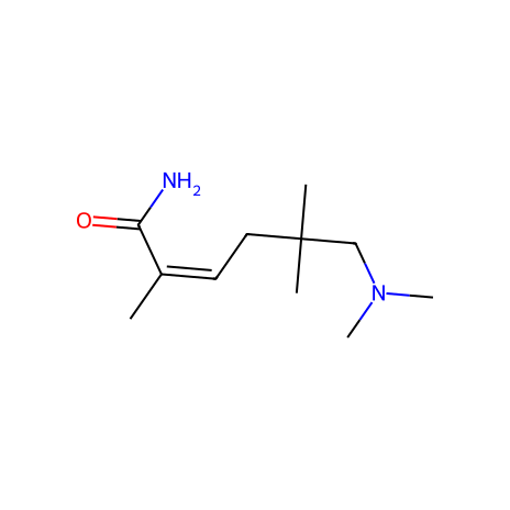 CC(=CCC(C)(C)CN(C)C)C(N)=O